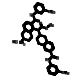 COc1cccc(NC(=O)c2ccc3c(c2)CCC(N(C(=O)OC(C)(C)C)c2c(C(=O)Nc4cccc(OC)c4)ccc4c2CCC(N)C4)C3)c1.Cl